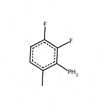 Cc1ccc(F)c(F)c1P